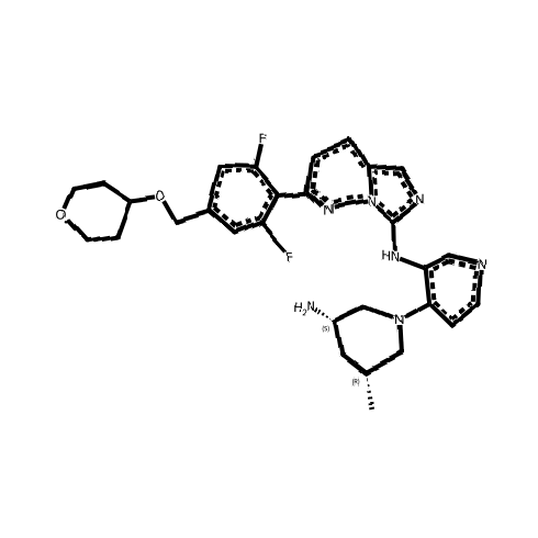 C[C@@H]1C[C@H](N)CN(c2ccncc2Nc2ncc3ccc(-c4c(F)cc(COC5CCOCC5)cc4F)nn23)C1